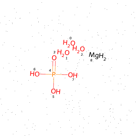 O.O.O.O=P(O)(O)O.[MgH2]